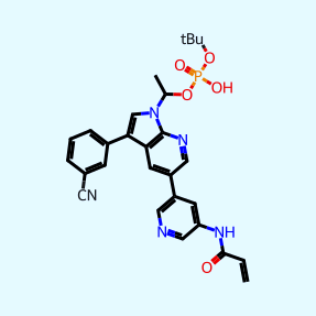 C=CC(=O)Nc1cncc(-c2cnc3c(c2)c(-c2cccc(C#N)c2)cn3C(C)OP(=O)(O)OC(C)(C)C)c1